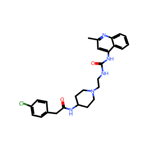 Cc1cc(NC(=O)NCCN2CCC(NC(=O)Cc3ccc(Cl)cc3)CC2)c2ccccc2n1